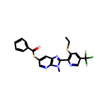 CCSc1cc(C(F)(F)F)cnc1-c1nc2cc(SC(=O)c3ccccc3)cnc2n1C